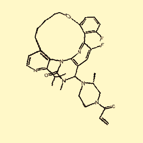 C=CC(=O)N1CCN(C2c3cc(F)c4nc3N(C(=O)N2C)c2c(ccnc2C(C)C)CCCCOc2cccc(F)c2-4)[C@@H](C)C1